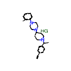 C#Cc1ccc(C(C)N2CCC(N3CCN(c4ccccc4C)CC3)CC2)cc1.Cl